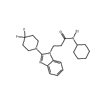 CCN(C(=O)CCn1c(N2CCC(F)(F)CC2)nc2ccccc21)C1CCCCC1